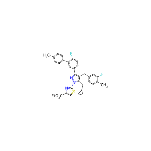 CCOC(=O)c1csc(-n2nc(-c3ccc(F)c(-c4ccc(C)cc4)c3)c(Cc3ccc(C)c(F)c3)c2CC2CC2)n1